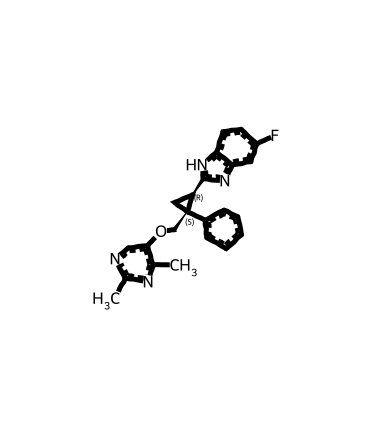 Cc1ncc(OC[C@@]2(c3ccccc3)C[C@H]2c2nc3cc(F)ccc3[nH]2)c(C)n1